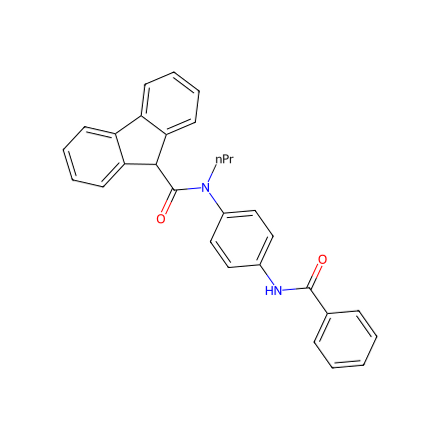 CCCN(C(=O)C1c2ccccc2-c2ccccc21)c1ccc(NC(=O)c2ccccc2)cc1